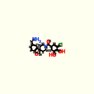 NCc1ccc2c(c1)C1(CCN(C(=O)c3cc(O)c(O)c(Cl)c3)CC1)CO2